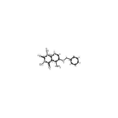 CCn1c(=O)c2c(N)c(OCc3ccccc3)cnc2n(CC)c1=O